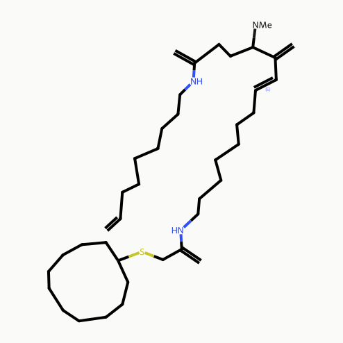 C=CCCCCCCCNC(=C)CCC(NC)C(=C)/C=C/CCCCCCCNC(=C)CSC1CCCCCCCCCC1